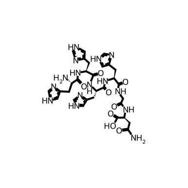 NC(=O)C[C@H](NC(=O)CNC(=O)[C@H](Cc1c[nH]cn1)NC(=O)[C@H](Cc1c[nH]cn1)NC(=O)[C@H](Cc1c[nH]cn1)NC(=O)[C@@H](N)Cc1c[nH]cn1)C(=O)O